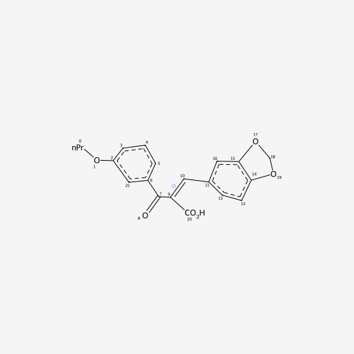 CCCOc1cccc(C(=O)/C(=C/c2ccc3c(c2)OCO3)C(=O)O)c1